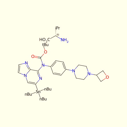 CC(C)[C@H](N)C(=O)O.CCC[CH2][Sn]([CH2]CCC)([CH2]CCC)[c]1cn2ccnc2c(N(C(=O)OC(C)(C)C)c2ccc(N3CCN(C4COC4)CC3)cc2)n1